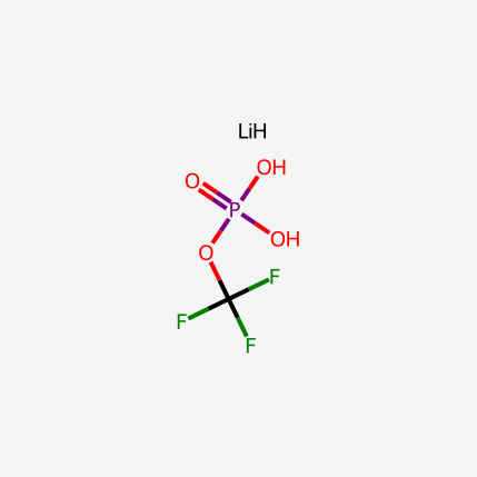 O=P(O)(O)OC(F)(F)F.[LiH]